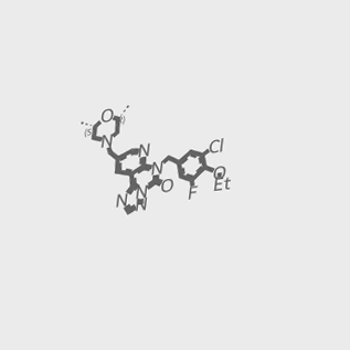 CCOc1c(F)cc(Cn2c(=O)n3ncnc3c3cc(CN4C[C@@H](C)O[C@@H](C)C4)cnc32)cc1Cl